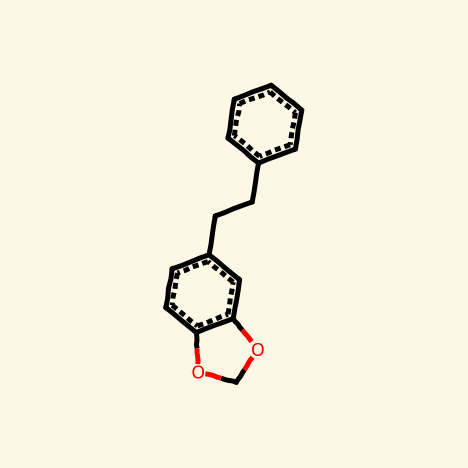 c1ccc(CCc2ccc3c(c2)OCO3)cc1